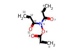 C=CC(=O)ON(C(=O)C=C)C(=O)C=C